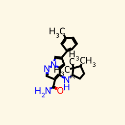 Cc1cccc(-c2cc3c(N[C@@H]4CCC(C)C4(C)C)c(C(N)=O)cnn3c2)c1